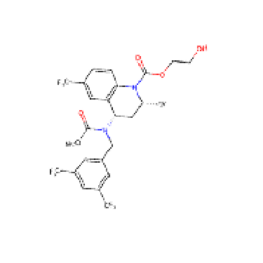 COC(=O)N(Cc1cc(C(F)(F)F)cc(C(F)(F)F)c1)[C@H]1C[C@@H](C(C)C)N(C(=O)OCCO)c2ccc(C(F)(F)F)cc21